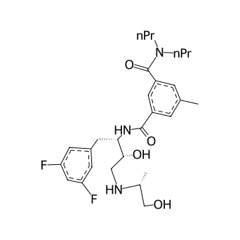 CCCN(CCC)C(=O)c1cc(C)cc(C(=O)N[C@@H](Cc2cc(F)cc(F)c2)[C@H](O)CN[C@H](C)CO)c1